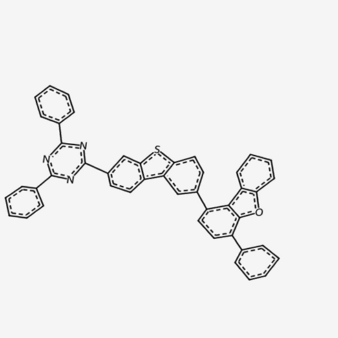 c1ccc(-c2nc(-c3ccccc3)nc(-c3ccc4c(c3)sc3ccc(-c5ccc(-c6ccccc6)c6oc7ccccc7c56)cc34)n2)cc1